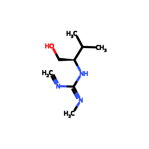 C=N/C(=N\C)N[C@@H](CO)C(C)C